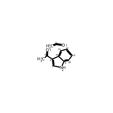 C=C=O.CC(=O)c1c[nH]c2ccccc12